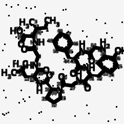 CC[C@H](C)[C@H](NC(=O)CNC(=O)[C@H](CC(C)C)NC(=O)[C@@H]1CCCN1C(=O)CNC(=O)[C@H](Cc1ccc(O)cc1)NC(=O)[C@H](Cc1ccccc1)NC(=O)CN)C(=O)O